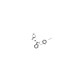 COCCOc1cc(F)c(Cn2nc(-c3nc(O)c4c(n3)CC(C)(C)C4)c3ccccc32)c(F)c1